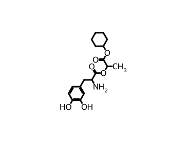 CC(OC(=O)C(N)Cc1ccc(O)c(O)c1)C(=O)OC1CCCCC1